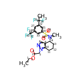 CCOC(=O)Cn1ncc2c1CCC[C@H]2N(C)S(=O)(=O)c1cc(C(C)(F)F)cc(C(F)(F)F)c1